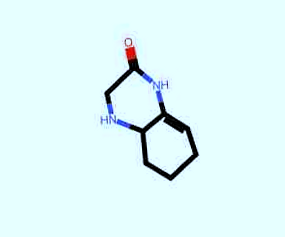 O=C1CNC2CCCC=C2N1